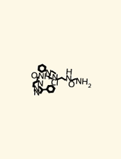 NCC(=O)NCCCN1CCN(c2ccccc2NC(=O)c2ccn3ncc(-c4cccc(Cl)c4)c3n2)CC1